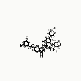 CN1CCC(c2ccc(C(=O)Nc3n[nH]c4ccc(OCc5cc(F)cc(F)c5)nc34)c(N(C(=O)C(F)(F)F)C3CCOCC3)c2)CC1